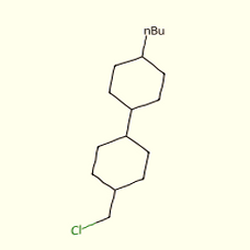 CCCCC1CCC(C2CCC(CCl)CC2)CC1